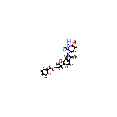 CC1(CCOCc2ccccc2)COc2c1ccc1c2CN(C2CCC(=O)NC2=O)C1=O